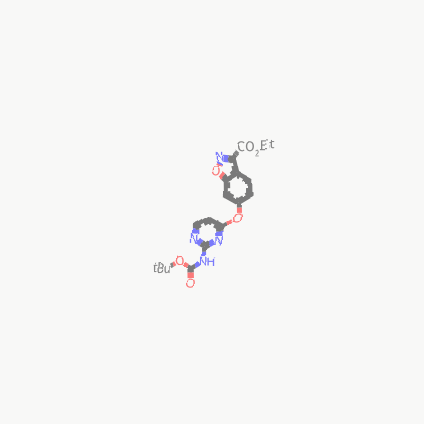 CCOC(=O)c1noc2cc(Oc3ccnc(NC(=O)OC(C)(C)C)n3)ccc12